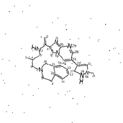 C=C(NCC(C)CN1CCc2ccccc2C1)c1cn2cc(C3=CN(C)NC3)cnc2n1